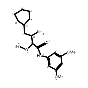 COc1cc(NC(=O)C(OC(C)C)C(N)CC2CCCCC2)cc(OC)c1